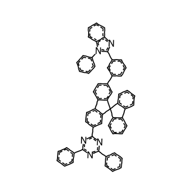 c1ccc(-c2nc(-c3ccccc3)nc(-c3ccc4c(c3)C3(c5ccccc5-c5ccccc53)c3cc(-c5cccc(-c6nc7ccccc7n6-c6ccccc6)c5)ccc3-4)n2)cc1